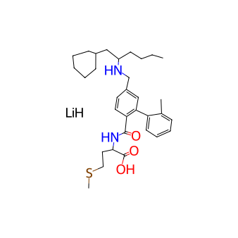 CCCCC(CC1CCCCC1)NCc1ccc(C(=O)NC(CCSC)C(=O)O)c(-c2ccccc2C)c1.[LiH]